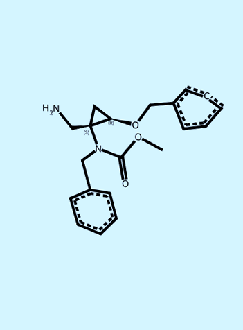 COC(=O)N(Cc1ccccc1)[C@]1(CN)C[C@H]1OCc1ccccc1